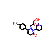 O=C1CC=C(c2ccc(C(F)(F)F)cc2)N(CC(O)CO)N1c1cccnc1